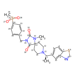 C[C@H](c1ccc2scnc2c1)N1CCC2(CC1)C(=O)N(Cc1ccc(S(C)(=O)=O)cc1)C(=O)N2C